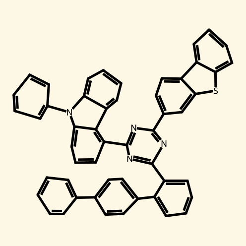 c1ccc(-c2ccc(-c3ccccc3-c3nc(-c4ccc5c(c4)sc4ccccc45)nc(-c4cccc5c4c4ccccc4n5-c4ccccc4)n3)cc2)cc1